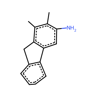 Cc1c(N)cc2c(c1C)Cc1ccccc1-2